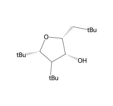 CC(C)(C)C[C@H]1O[C@@H](C(C)(C)C)C(C(C)(C)C)[C@H]1O